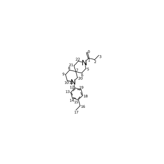 C=C(CC)N1CCC2(CCCN(c3ccc(CC)cc3)C2)CC1